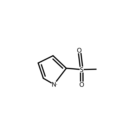 CS(=O)(=O)C1=CC=C[N]1